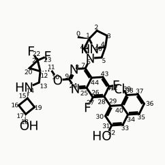 C[C@]12CCC(CN(c3nc(OC[C@]4(CN[C@H]5C[C@@H](O)C5)CC4(F)F)nc4c(F)c(-c5cc(O)cc6cccc(Cl)c56)c(F)cc34)C1)N2